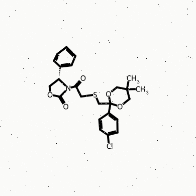 CC1(C)COC(CSCC(=O)N2C(=O)OC[C@@H]2c2ccccc2)(c2ccc(Cl)cc2)OC1